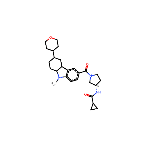 CN1c2ccc(C(=O)N3CC[C@H](NC(=O)C4CC4)C3)cc2C2CC(C3CCOCC3)CCC21